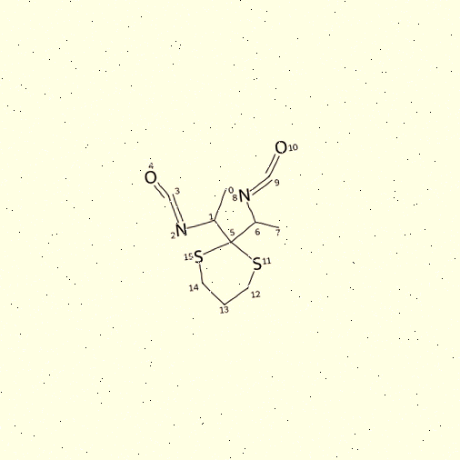 CC(N=C=O)C1(C(C)N=C=O)SCCCS1